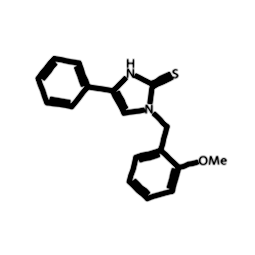 COc1ccccc1Cn1cc(-c2ccccc2)[nH]c1=S